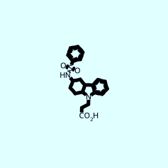 O=C(O)CCN1c2ccccc2C2CC(NS(=O)(=O)c3ccccc3)CCC21